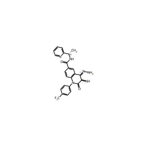 C[C@H](NC(=O)c1ccc2c(c1)/C(=N/N)C(=N)C(=O)N2c1ccc(C(F)(F)F)cc1)c1ccccn1